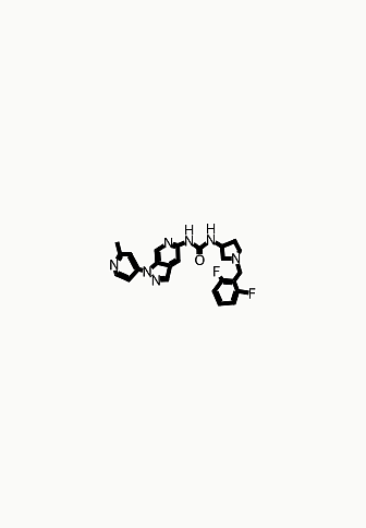 Cc1cc(-n2ncc3cc(NC(=O)NC4CCN(Cc5c(F)cccc5F)C4)ncc32)ccn1